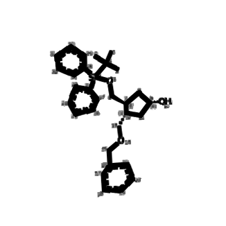 CC(C)(C)[Si](OC[C@H]1C[C@H](O)C[C@@H]1COCc1ccccc1)(c1ccccc1)c1ccccc1